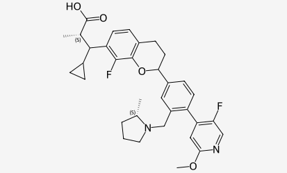 COc1cc(-c2ccc(C3CCc4ccc(C(C5CC5)[C@H](C)C(=O)O)c(F)c4O3)cc2CN2CCC[C@@H]2C)c(F)cn1